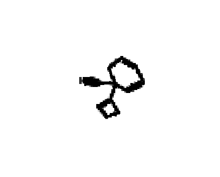 N#CC1(C2=CCC2)C=CC=CC1